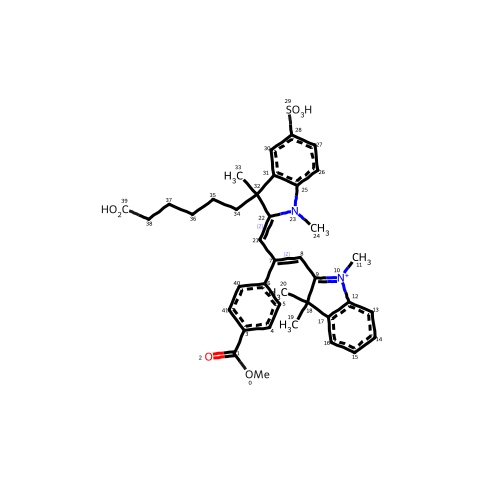 COC(=O)c1ccc(C(=C\C2=[N+](C)c3ccccc3C2(C)C)/C=C2\N(C)c3ccc(S(=O)(=O)O)cc3C2(C)CCCCCC(=O)O)cc1